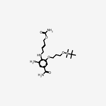 CC(C)(C)[Si](C)(C)OCCCOc1cc(C(N)=O)cc(N)c1NC/C=C/COC(N)=O